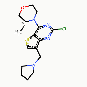 C[C@@H]1COCCN1c1nc(Cl)nc2c(CN3CCCC3)csc12